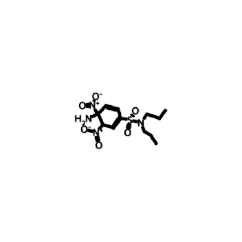 CCCN(CCC)S(=O)(=O)C1=CC([N+](=O)[O-])C(N)([N+](=O)[O-])C=C1